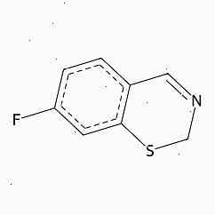 Fc1ccc2c(c1)SCN=C2